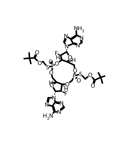 CC(C)(C)C(=O)OCSP1(=O)CO[C@H]2[C@@H](F)[C@H](n3cnc4c(N)ncnc43)O[C@@H]2COP(=O)(SCOC(=O)C(C)(C)C)O[C@H]2[C@@H](F)[C@H](n3cnc4c(N)ncnc43)O[C@@H]2CO1